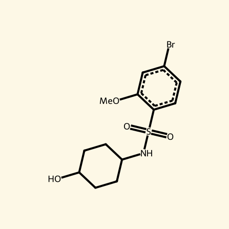 COc1cc(Br)ccc1S(=O)(=O)NC1CCC(O)CC1